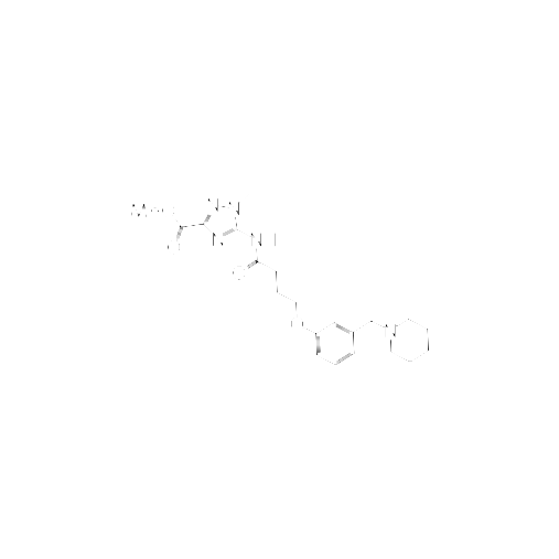 COC(=O)c1nc(NC(=O)CCCOc2cccc(CN3CCCCC3)c2)n(C)n1